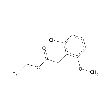 CCOC(=O)Cc1c(Cl)cccc1OC